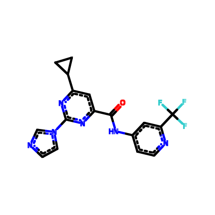 O=C(Nc1ccnc(C(F)(F)F)c1)c1cc(C2CC2)nc(-n2ccnc2)n1